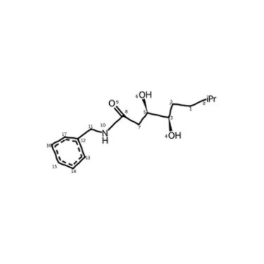 CC(C)C[CH][C@@H](O)[C@H](O)CC(=O)NCc1ccccc1